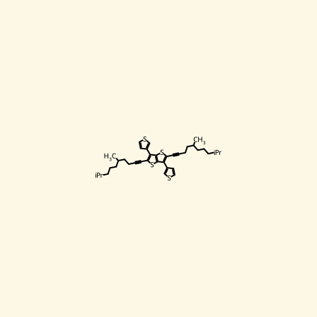 CC(C)CCCC(C)CCC#Cc1sc2c(-c3ccsc3)c(C#CCCC(C)CCCC(C)C)sc2c1-c1ccsc1